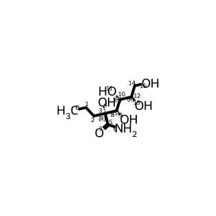 CCC[C@](O)(C(N)=O)[C@@H](O)[C@H](O)[C@H](O)CO